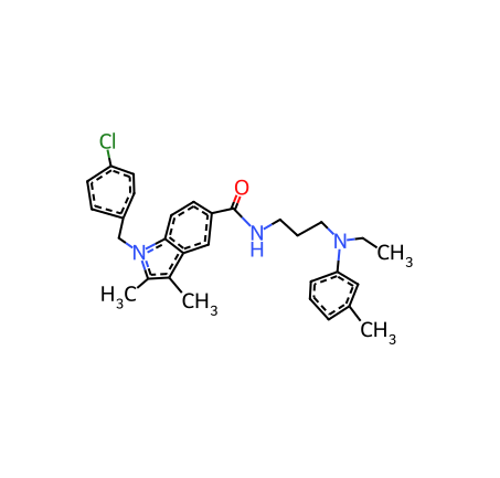 CCN(CCCNC(=O)c1ccc2c(c1)c(C)c(C)n2Cc1ccc(Cl)cc1)c1cccc(C)c1